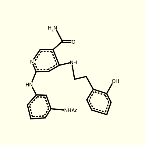 CC(=O)Nc1cccc(Nc2cc(NCCc3ccccc3O)c(C(N)=O)cn2)c1